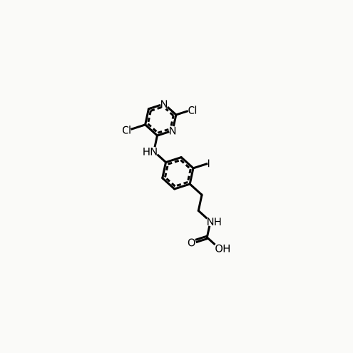 O=C(O)NCCc1ccc(Nc2nc(Cl)ncc2Cl)cc1I